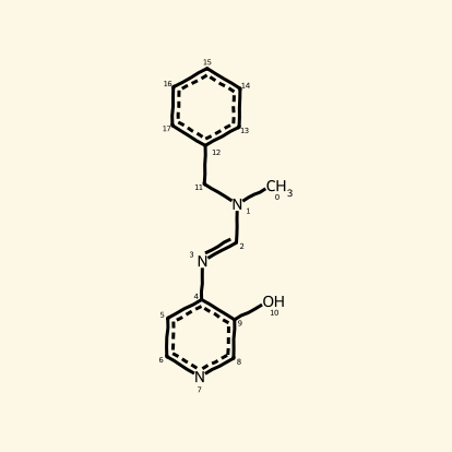 CN(/C=N/c1ccncc1O)Cc1ccccc1